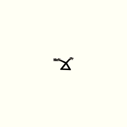 CNC1(C(C)C)CC1